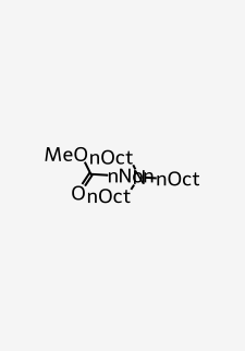 CCCCCCCCCC(=O)OC.CCCCCCCCN(CCCCCCCC)CCCCCCCC